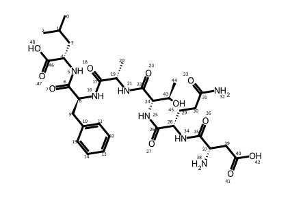 CC(C)C[C@H](NC(=O)[C@H](Cc1ccccc1)NC(=O)[C@H](C)NC(=O)[C@@H](NC(=O)[C@H](CCC(N)=O)NC(=O)[C@@H](N)CC(=O)O)[C@@H](C)O)C(=O)O